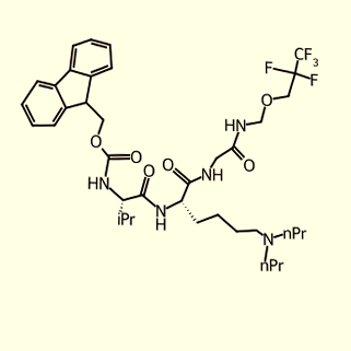 CCCN(CCC)CCCC[C@H](NC(=O)[C@@H](NC(=O)OCC1c2ccccc2-c2ccccc21)C(C)C)C(=O)NCC(=O)NCOCC(F)(F)C(F)(F)F